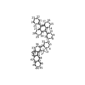 CC1(C)c2ccc(-c3cccc(-c4c5ccccc5c(-c5ccccc5)c5ccccc45)c3)cc2-c2ccc3sc4cc5ccccc5cc4c3c21